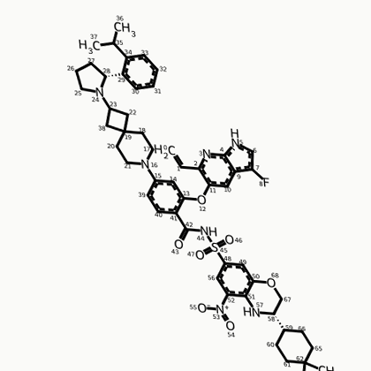 C=Cc1nc2[nH]cc(F)c2cc1Oc1cc(N2CCC3(CC2)CC(N2CCC[C@@H]2c2ccccc2C(C)C)C3)ccc1C(=O)NS(=O)(=O)c1cc2c(c([N+](=O)[O-])c1)N[C@@H](C1CCC(C)(O)CC1)CO2